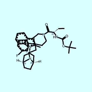 CC[C@H](NC(=O)OC(C)(C)C)C(=O)N1CCC(CCN2[C@@H]3CC[C@H]2C[C@@H](n2c(C)nc4ccccc42)C3)(c2cccc(F)c2)CC1